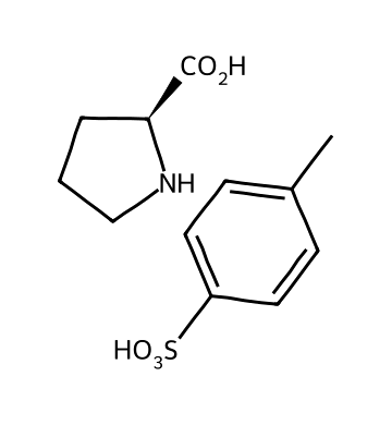 Cc1ccc(S(=O)(=O)O)cc1.O=C(O)[C@@H]1CCCN1